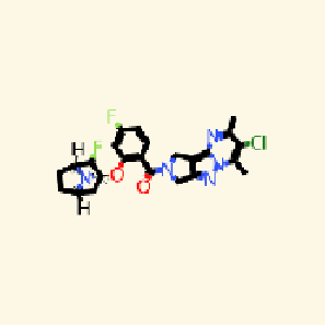 Cc1nc2c3c(nn2c(C)c1Cl)CN(C(=O)c1ccc(F)cc1O[C@@H]1C[C@@H]2CC[C@H](C1F)N2C)C3